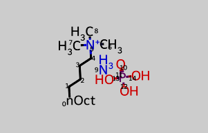 CCCCCCCCCCCC[N+](C)(C)C.N.O=P(O)(O)O